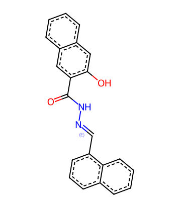 O=C(N/N=C/c1cccc2ccccc12)c1cc2ccccc2cc1O